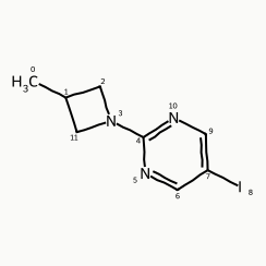 CC1CN(c2ncc(I)cn2)C1